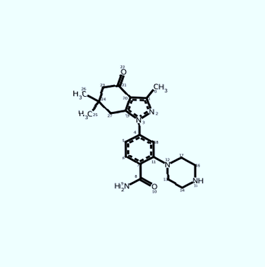 Cc1nn(-c2ccc(C(N)=O)c(N3CCNCC3)c2)c2c1C(=O)CC(C)(C)C2